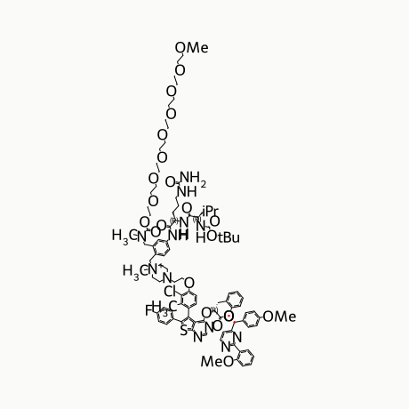 COCCOCCOCCOCCOCCOCCOCCOCCOC(=O)N(C)Cc1cc(NC(=O)[C@@H](CCCNC(N)=O)NC(=O)[C@H](NC(=O)OC(C)(C)C)C(C)C)ccc1C[N+]1(C)CCN(CCOc2ccc(-c3c(-c4ccc(F)cc4)sc4ncnc(O[C@H](Cc5ccccc5OCc5ccnc(-c6ccccc6OC)n5)C(=O)OCc5ccc(OC)cc5)c34)c(C)c2Cl)CC1